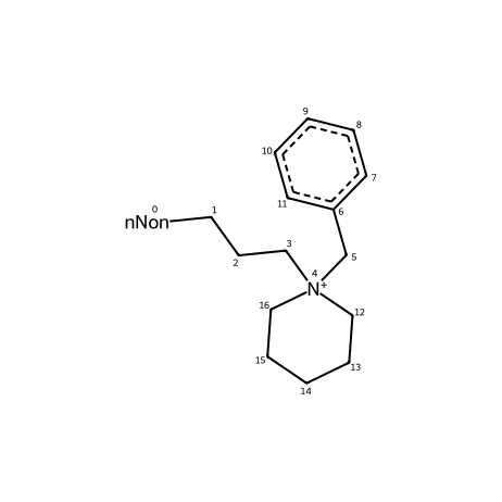 CCCCCCCCCCCC[N+]1(Cc2ccccc2)CCCCC1